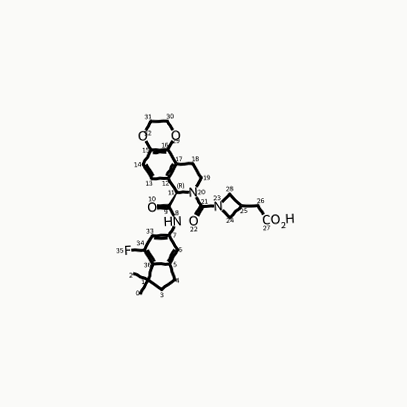 CC1(C)CCc2cc(NC(=O)[C@H]3c4ccc5c(c4CCN3C(=O)N3CC(CC(=O)O)C3)OCCO5)cc(F)c21